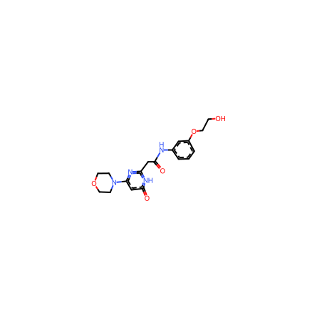 O=C(Cc1nc(N2CCOCC2)cc(=O)[nH]1)Nc1cccc(OCCO)c1